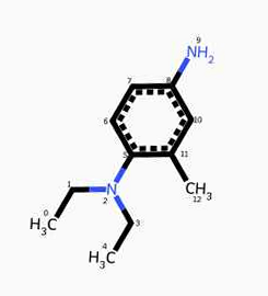 CCN(CC)c1ccc(N)cc1C